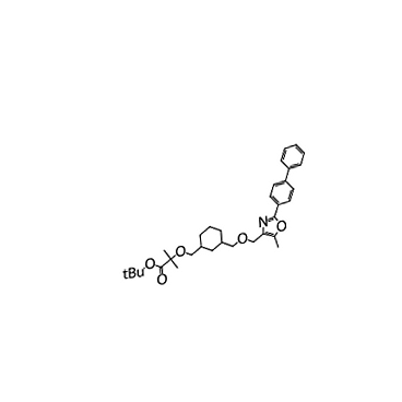 Cc1oc(-c2ccc(-c3ccccc3)cc2)nc1COCC1CCCC(COC(C)(C)C(=O)OC(C)(C)C)C1